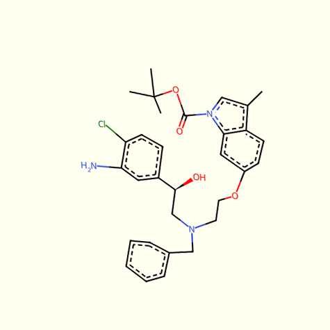 Cc1cn(C(=O)OC(C)(C)C)c2cc(OCCN(Cc3ccccc3)C[C@H](O)c3ccc(Cl)c(N)c3)ccc12